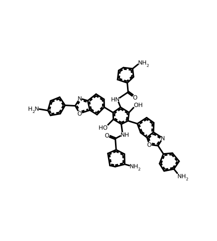 Nc1ccc(-c2nc3ccc(-c4c(O)c(NC(=O)c5cccc(N)c5)c(-c5ccc6nc(-c7ccc(N)cc7)oc6c5)c(O)c4NC(=O)c4cccc(N)c4)cc3o2)cc1